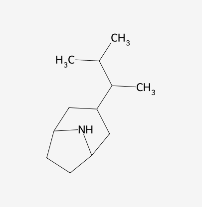 CC(C)C(C)C1CC2CCC(C1)N2